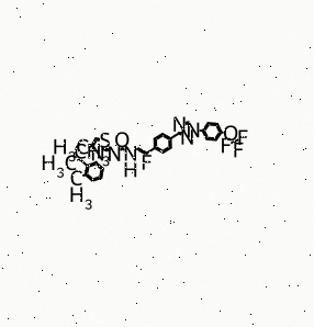 Cc1cccc(-n2c(C)cs/c2=N\C(=O)N/C=C(\F)c2ccc(-c3ncn(-c4ccc(OC(F)(F)F)cc4)n3)cc2)c1C(C)C